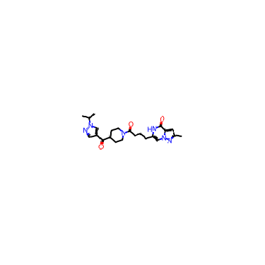 Cc1cc2c(=O)[nH]c(CCCC(=O)N3CCC(C(=O)c4cnn(C(C)C)c4)CC3)cn2n1